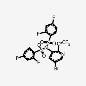 O=S(=O)(c1ccc(F)cc1F)N(c1cc(Br)cnc1OC(F)(F)F)S(=O)(=O)c1ccc(F)cc1F